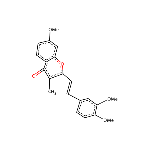 COc1[c]c2oc(C=Cc3ccc(OC)c(OC)c3)c(C)c(=O)c2cc1